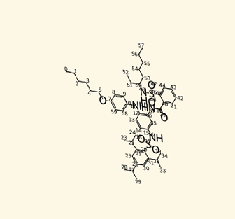 CCCCCCOc1ccc(Nc2ccc(NS(=O)(=O)c3c(C(C)C)cc(C(C)C)cc3C(C)C)cc2NC(=O)c2ccccc2S(=O)(=O)NC(CC)CCCCC)cc1